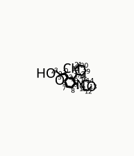 Cc1c(CO)oc2ccc(N3CCOCC3)c(C3CCCCC3)c12